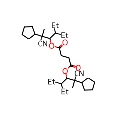 CCC(CC)C(OC(=O)CCC(=O)OC(C(CC)CC)C(C)(C#N)C1CCCC1)C(C)(C#N)C1CCCC1